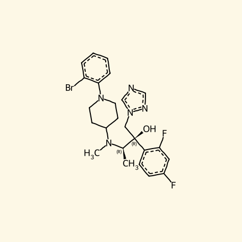 C[C@@H](N(C)C1CCN(c2ccccc2Br)CC1)[C@](O)(Cn1cncn1)c1ccc(F)cc1F